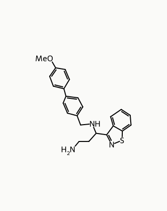 COc1ccc(-c2ccc(CNC(CCN)c3nsc4ccccc34)cc2)cc1